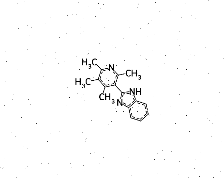 Cc1nc(C)c(-c2nc3ccccc3[nH]2)c(C)c1C